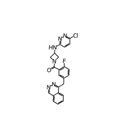 O=C(c1cc(Cc2nncc3ccccc23)ccc1F)N1CC(Nc2ccc(Cl)nn2)C1